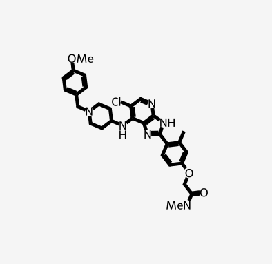 CNC(=O)COc1ccc(-c2nc3c(NC4CCN(Cc5ccc(OC)cc5)CC4)c(Cl)cnc3[nH]2)c(C)c1